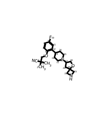 CC(C)(C#N)COc1ccc(F)cc1C1CCN(C2COC3(CNC3)C2)CC1